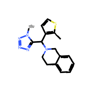 Cc1sccc1C(c1nnnn1C(C)(C)C)N1CCc2ccccc2C1